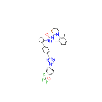 Cc1cccc(C)c1N1CCCS/C1=N\C(=O)NC1=C(c2ccc(-c3ncn(-c4ccc(OC(F)(F)F)cc4)n3)cc2)CCC1